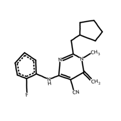 C=C1C(C#N)=C(Nc2ccccc2F)N=C(CC2CCCC2)N1C